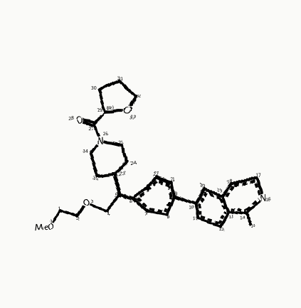 COCCOCC(c1ccc(-c2ccc3c(C)nccc3c2)cc1)C1CCN(C(=O)[C@H]2CCCO2)CC1